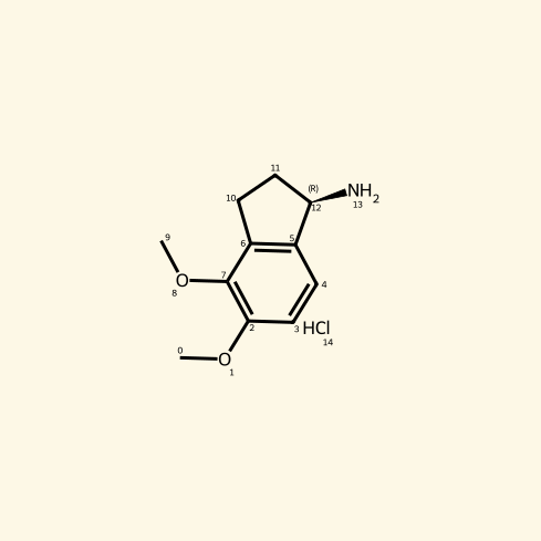 COc1ccc2c(c1OC)CC[C@H]2N.Cl